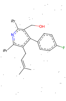 CC(C)=CCc1c(C(C)C)nc(C(C)C)c(CO)c1-c1ccc(F)cc1